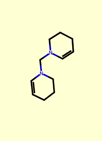 C1=CN(CN2C=CCCC2)CCC1